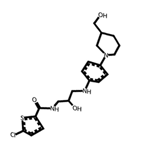 O=C(NCC(O)CNc1ccc(N2CCCC(CO)C2)cc1)c1ccc(Cl)s1